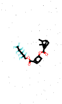 CC1C2CC3C1C3(C(=O)OC1CC3CC(C(=O)OCC(F)(F)C(F)(F)C(F)(F)C(F)F)C1C3)C2C